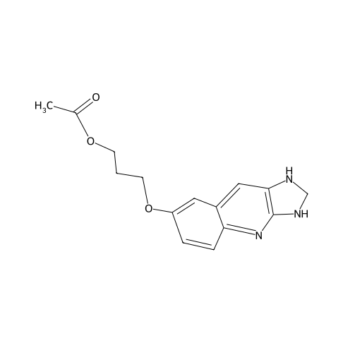 CC(=O)OCCCOc1ccc2nc3c(cc2c1)NCN3